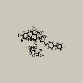 COC(=O)C1=C(C(=O)OC)N(N(C=O)CCCN2CCC(c3ccccn3)CC2)C(=O)NC1c1ccc(F)c(F)c1.O=C(O)C(O)C(O)C(=O)O